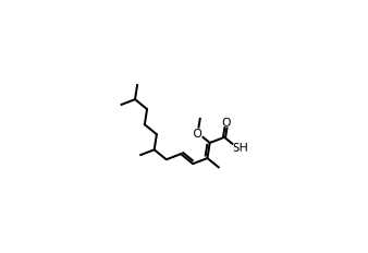 CO/C(C(=O)S)=C(C)\C=C\CC(C)CCCC(C)C